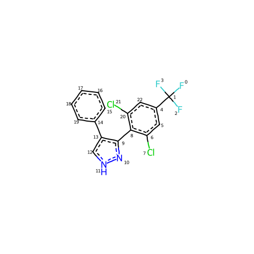 FC(F)(F)c1cc(Cl)c(-c2n[nH]cc2-c2ccccc2)c(Cl)c1